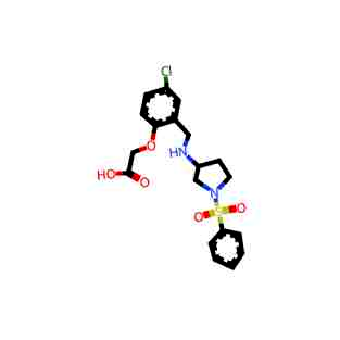 O=C(O)COc1ccc(Cl)cc1CNC1CCN(S(=O)(=O)c2ccccc2)C1